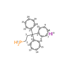 I.PCCC(c1ccccc1)(c1ccccc1)c1ccccc1